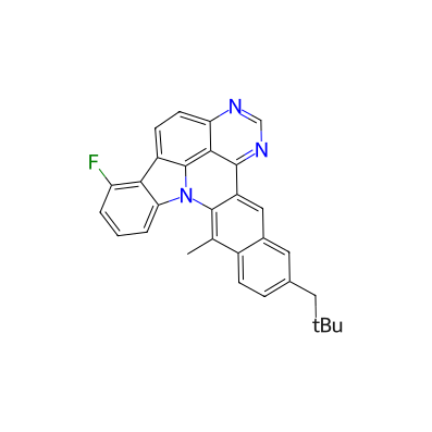 Cc1c2ccc(CC(C)(C)C)cc2cc2c3ncnc4ccc5c6c(F)cccc6n(c12)c5c43